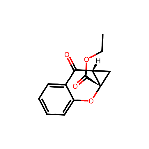 CCOC(=O)[C@]12C[C@H]1C(=O)c1ccccc1O2